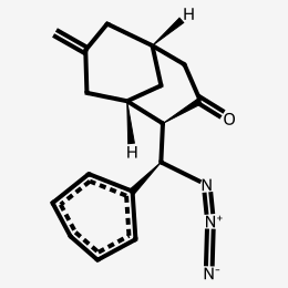 C=C1C[C@@H]2CC(=O)[C@@H]([C@@H](N=[N+]=[N-])c3ccccc3)[C@H](C1)C2